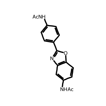 CC(=O)Nc1ccc(-c2nc3cc(NC(C)=O)ccc3o2)cc1